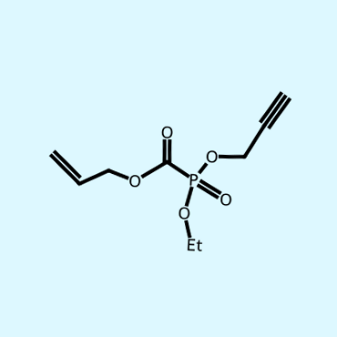 C#CCOP(=O)(OCC)C(=O)OCC=C